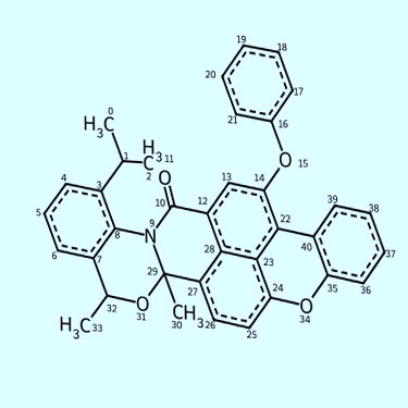 CC(C)c1cccc2c1N1C(=O)c3cc(Oc4ccccc4)c4c5c(ccc(c35)C1(C)OC2C)Oc1ccccc1-4